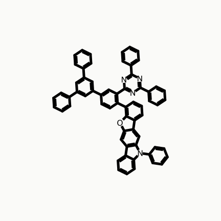 c1ccc(-c2cc(-c3ccccc3)cc(-c3ccc(-c4cccc5c4oc4cc6c7ccccc7n(-c7ccccc7)c6cc45)c(-c4nc(-c5ccccc5)nc(-c5ccccc5)n4)c3)c2)cc1